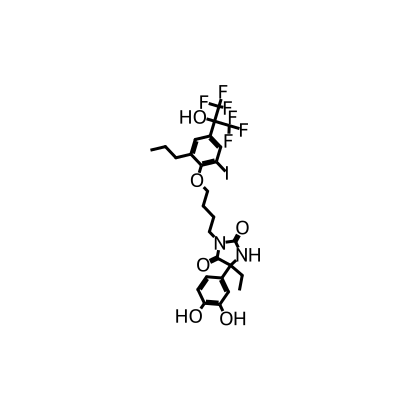 CCCc1cc(C(O)(C(F)(F)F)C(F)(F)F)cc(I)c1OCCCCN1C(=O)NC(CC)(c2ccc(O)c(O)c2)C1=O